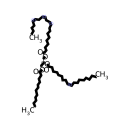 CCCCC/C=C\C/C=C\C/C=C\CCCCCCCCC(=O)OC[C@@H](COC(=O)CCCCCCCCCCCC)OC(=O)CCCCCCC/C=C\CCCCCCCCC